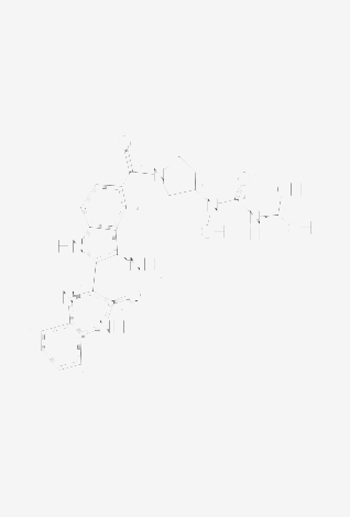 CC(C)NC(=O)N(C)C1CCN(C(=O)c2ccc3[nH]c(-c4nc5ccccc5[nH]c4=O)c(N)c3c2)C1